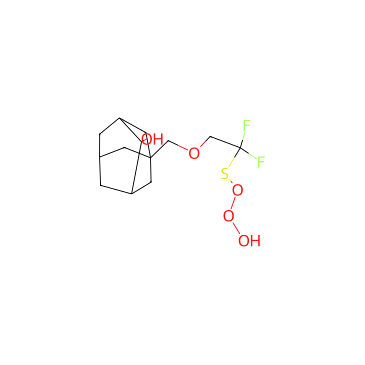 OOOSC(F)(F)COCC12CC3CC(C1)C(O)C(C3)C2